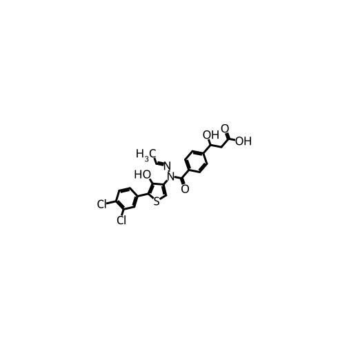 CC=NN(C(=O)c1ccc(C(O)CC(=O)O)cc1)c1csc(-c2ccc(Cl)c(Cl)c2)c1O